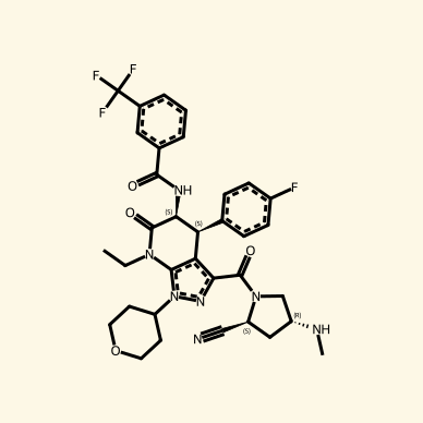 CCN1C(=O)[C@@H](NC(=O)c2cccc(C(F)(F)F)c2)[C@@H](c2ccc(F)cc2)c2c(C(=O)N3C[C@H](NC)C[C@H]3C#N)nn(C3CCOCC3)c21